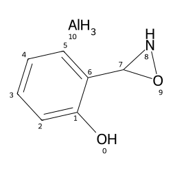 Oc1ccccc1C1NO1.[AlH3]